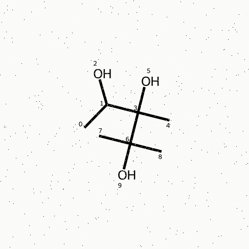 CC(O)C(C)(O)C(C)(C)O